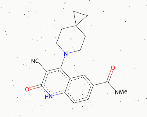 CNC(=O)c1ccc2[nH]c(=O)c(C#N)c(N3CCC4(CC3)CC4)c2c1